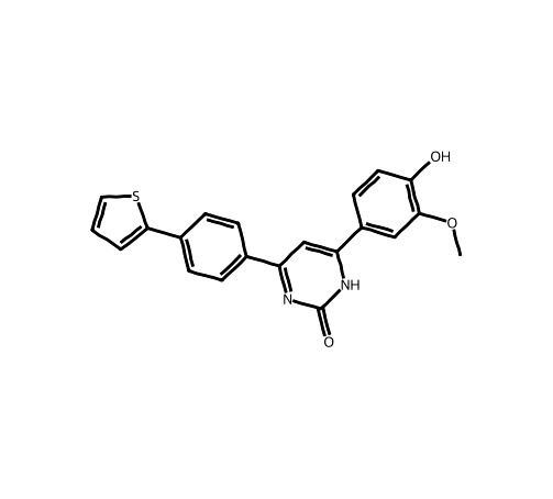 COc1cc(-c2cc(-c3ccc(-c4cccs4)cc3)nc(=O)[nH]2)ccc1O